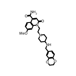 COc1ccc2c(C(N)=O)cc(=O)n(CCN3CCC(NCc4ccc5c(c4)OCCO5)CC3)c2c1